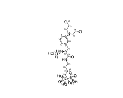 Cl.Cl.N[C@@H](Cc1cccc(N(CCCl)CCCl)c1)C(=O)NCCCCC(O)(P(=O)(O)O)P(=O)(O)O